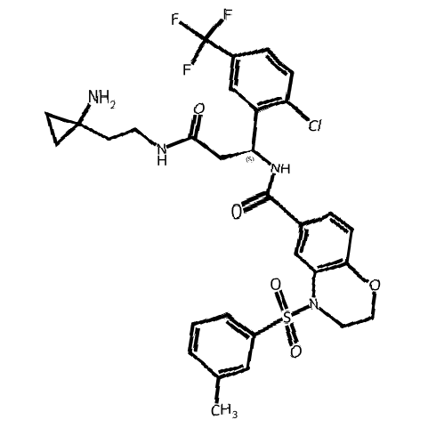 Cc1cccc(S(=O)(=O)N2CCOc3ccc(C(=O)N[C@@H](CC(=O)NCCC4(N)CC4)c4cc(C(F)(F)F)ccc4Cl)cc32)c1